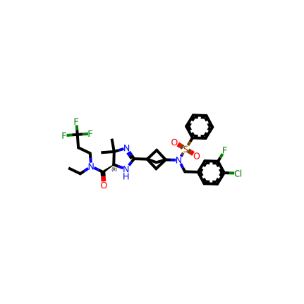 CCN(CCC(F)(F)F)C(=O)[C@@H]1NC(C23CC(N(Cc4ccc(Cl)c(F)c4)S(=O)(=O)c4ccccc4)(C2)C3)=NC1(C)C